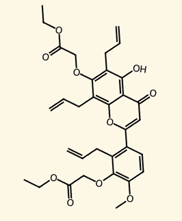 C=CCc1c(-c2cc(=O)c3c(O)c(CC=C)c(OCC(=O)OCC)c(CC=C)c3o2)ccc(OC)c1OCC(=O)OCC